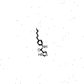 O=C(Nc1ccc(CCCCI)cc1)C1CSCN1